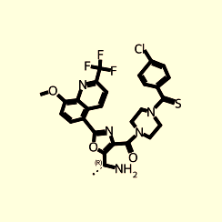 COc1ccc(-c2nc(C(=O)N3CCN(C(=S)c4ccc(Cl)cc4)CC3)c([C@@H](C)N)o2)c2ccc(C(F)(F)F)nc12